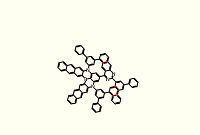 c1ccc(-c2cc(-c3ccccc3)cc(-c3nc(-c4cc5c6c(c4)N(c4cc(-c7ccccc7)cc(-c7ccccc7)c4)c4cc7cc8ccccc8cc7cc4B6c4cc6cc7ccccc7cc6cc4N5c4cc(-c5ccccc5)cc(-c5ccccc5)c4)c4ccccc4n3)c2)cc1